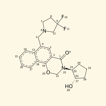 O=C1c2cc(CN3CCC(F)(F)C3)c3ccccc3c2OCN1[C@H]1CCC[C@@H]1O